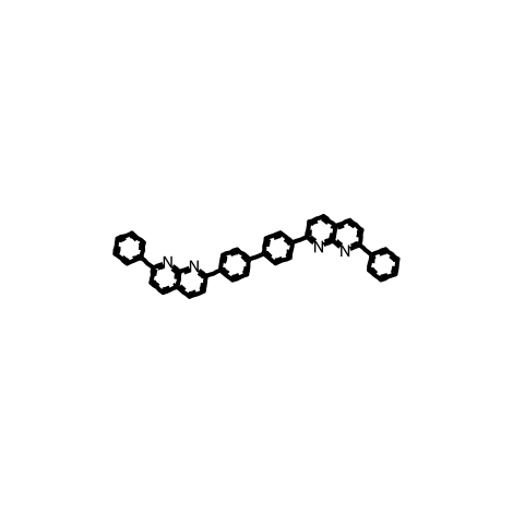 c1ccc(-c2ccc3ccc(-c4ccc(-c5ccc(-c6ccc7ccc(-c8ccccc8)nc7n6)cc5)cc4)nc3n2)cc1